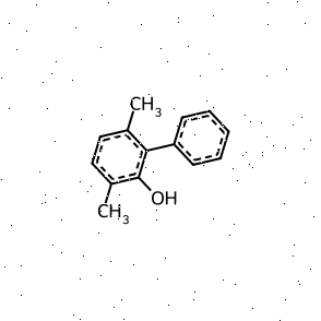 Cc1ccc(C)c(-c2ccccc2)c1O